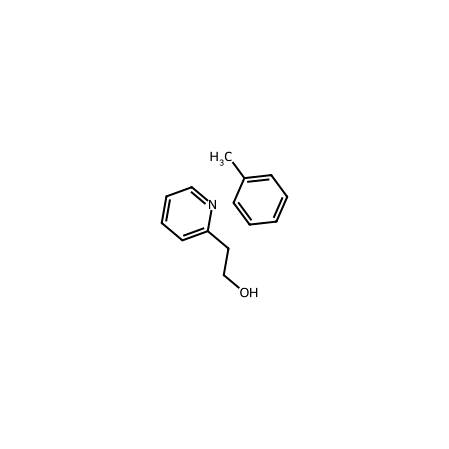 Cc1ccccc1.OCCc1ccccn1